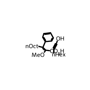 CCCCCCC#CO.CCCCCCCCC(=C(OC)C(=O)O)c1ccccc1